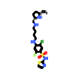 C[C@H]1CC[C@@H](CNCCCCNc2cc(F)c(S(=O)(=O)Nc3nccs3)cc2Cl)N1